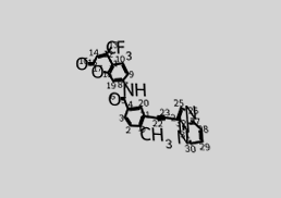 Cc1ccc(C(=O)Nc2ccc3c(C(F)(F)F)cc(=O)oc3c2)cc1C#Cc1cnc2cccnn12